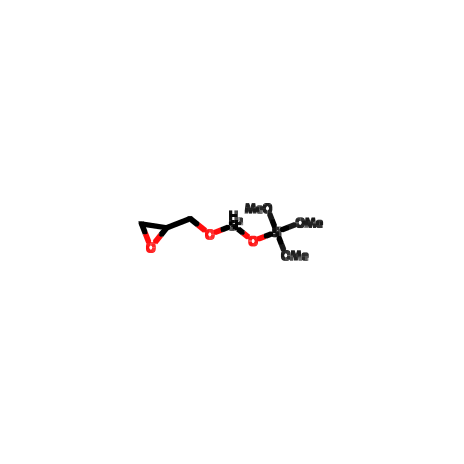 CO[Si](OC)(OC)O[SiH2]OCC1CO1